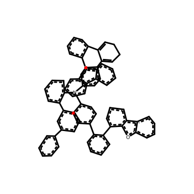 C1=C(c2ccc(N(c3ccc(-c4ccccc4-c4cccc5c4oc4ccccc45)cc3)c3ccccc3-c3cccc(-c4ccccc4)c3)cc2)C(c2ccccc2-n2c3ccccc3c3ccccc32)=CCC1